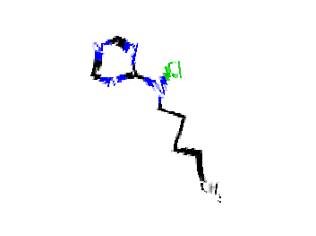 CCCCCN(Cl)c1ncncn1